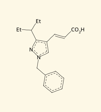 CCC(CC)c1nn(Cc2ccccc2)cc1C=CC(=O)O